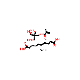 C=C(C)C(=O)OCC(CO)(CO)CO.O=C(O)CCCCCCCCC(=O)O.[NaH]